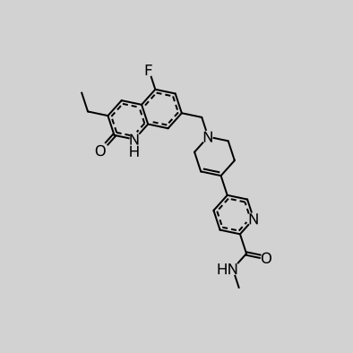 CCc1cc2c(F)cc(CN3CC=C(c4ccc(C(=O)NC)nc4)CC3)cc2[nH]c1=O